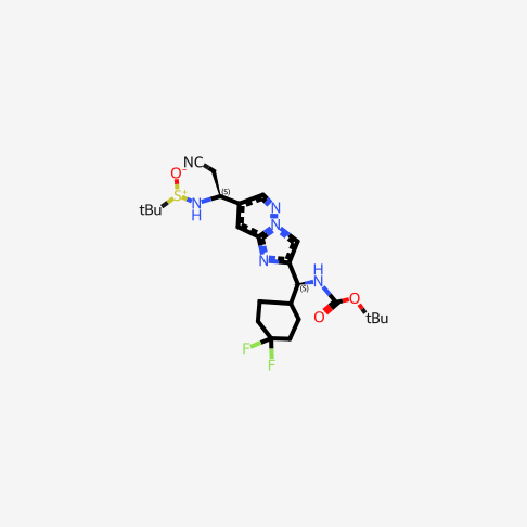 CC(C)(C)OC(=O)N[C@H](c1cn2ncc([C@H](CC#N)N[S+]([O-])C(C)(C)C)cc2n1)C1CCC(F)(F)CC1